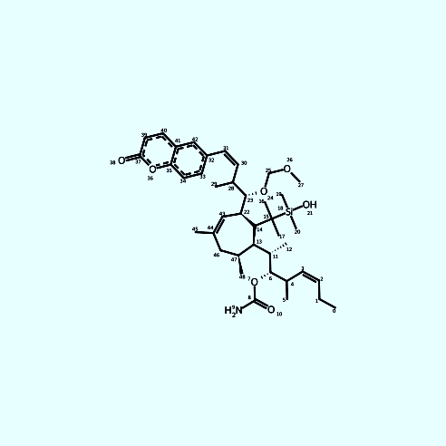 CC/C=C\C(C)[C@H](OC(N)=O)[C@@H](C)[C@@H]1C(C(C)(C)[Si](C)(C)O)[C@H]([C@@H](OCOC)C(C)/C=C\c2ccc3oc(=O)ccc3c2)C=C(C)C[C@@H]1C